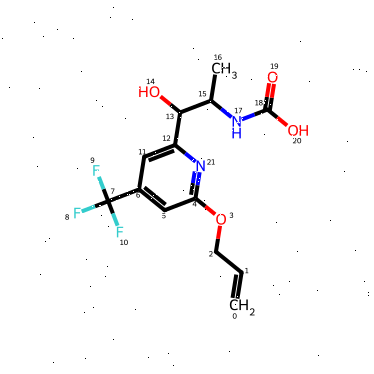 C=CCOc1cc(C(F)(F)F)cc(C(O)C(C)NC(=O)O)n1